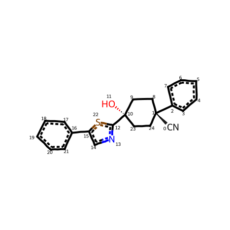 N#C[C@]1(c2ccccc2)CC[C@](O)(c2ncc(-c3ccccc3)s2)CC1